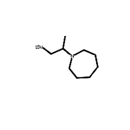 CC(CC(C)(C)C)N1CCCCCC1